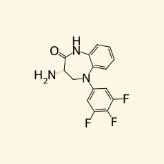 N[C@H]1CN(c2cc(F)c(F)c(F)c2)c2ccccc2NC1=O